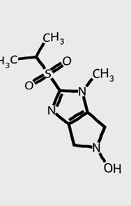 CC(C)S(=O)(=O)c1nc2c(n1C)CN(O)C2